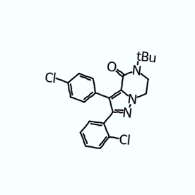 CC(C)(C)N1CCn2nc(-c3ccccc3Cl)c(-c3ccc(Cl)cc3)c2C1=O